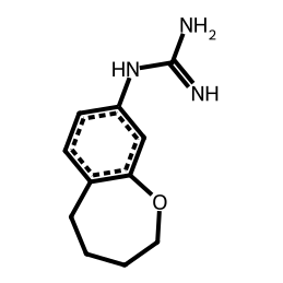 N=C(N)Nc1ccc2c(c1)OCCCC2